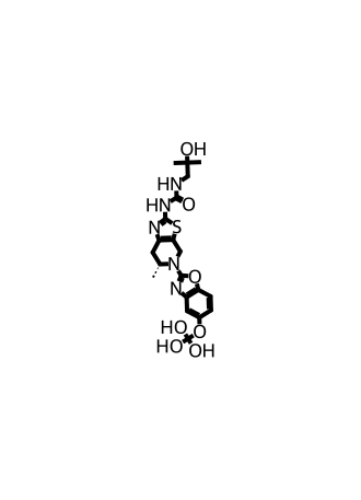 C[C@@H]1Cc2nc(NC(=O)NCC(C)(C)O)sc2CN1c1nc2cc(OC(O)(O)O)ccc2o1